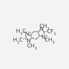 Cc1n(C)c2cc3c(cc2[n+]1C)n(C)c(C(F)(F)F)[n+]3C